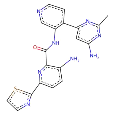 Cc1nc(N)cc(-c2ccncc2NC(=O)c2nc(-c3nccs3)ccc2N)n1